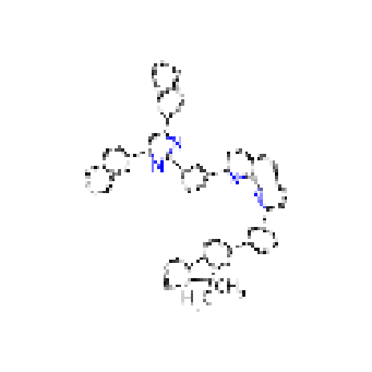 CC1(C)c2ccccc2-c2ccc(-c3cccc(-c4ccc5ccc6ccc(-c7cccc(-c8nc(-c9ccc%10ccccc%10c9)cc(-c9ccc%10ccccc%10c9)n8)c7)nc6c5n4)c3)cc21